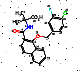 CC(C)(NC(=O)c1ccc2ccccc2c1OCc1ccc(Cl)c(F)c1)C(=O)O